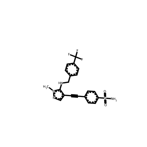 Cn1ncc(C#Cc2ccc(S(N)(=O)=O)cc2)c1NCc1ccc(C(F)(F)F)cc1